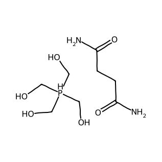 NC(=O)CCC(N)=O.OC[PH](CO)(CO)CO